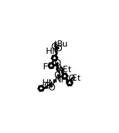 CCOc1ccccc1-c1ccc(N2CCN(C(=O)c3ccc(F)cc3-c3ccc(CNC(=O)OC(C)(C)C)cc3)C[C@H]2CC)c(C(=O)NCCNC(=O)OCc2ccccc2)c1